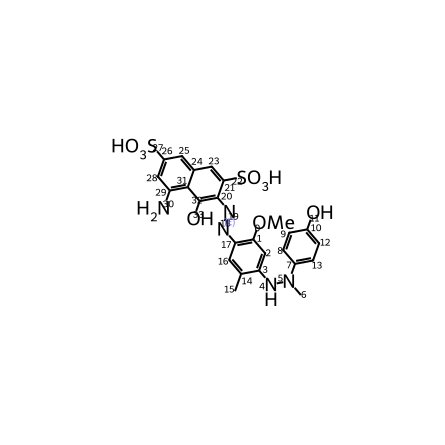 COc1cc(NN(C)c2ccc(O)cc2)c(C)cc1/N=N/c1c(S(=O)(=O)O)cc2cc(S(=O)(=O)O)cc(N)c2c1O